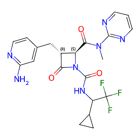 CN(C(=O)[C@@H]1[C@@H](Cc2ccnc(N)c2)C(=O)N1C(=O)NC(C1CC1)C(F)(F)F)c1ncccn1